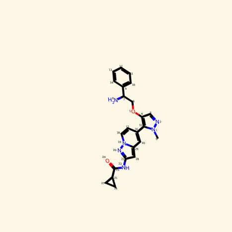 Cn1ncc(OCC(N)c2ccccc2)c1-c1ccn2nc(NC(=O)C3CC3)cc2c1